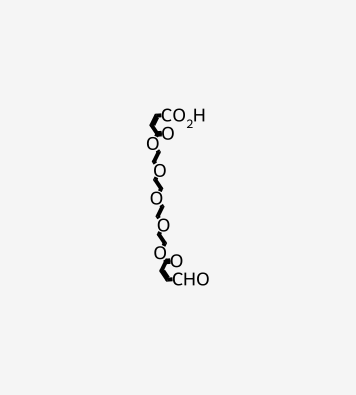 O=C/C=C\C(=O)OCCOCCOCCOCCOC(=O)/C=C\C(=O)O